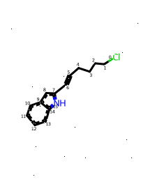 ClCCCCC#Cc1cc2ccccc2[nH]1